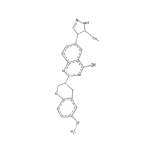 COc1ccc2c(c1)CC(c1nc(O)c3cc(C4C=NNC4C)ccc3n1)CO2